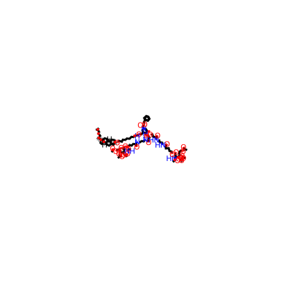 CC(=O)NC1C(OCCCCC(=O)NCCCNC(=O)CCOCC2CN(C(=O)OCc3ccccc3)CC(COCCCCCCCCCCO[C@@H]3C=C4CC[C@H]5[C@@H]6CC[C@H]([C@H](C)CCCC(C)C)[C@@]6(C)CC[C@@H]5[C@@]4(C)CC3)C2OCCC(=O)NCCCNC(=O)CCCCOC2OC(COC(C)=O)C(OC(C)=O)C(OC(C)=O)C2NC(C)=O)OC(COC(C)=O)C(OC(C)=O)C1OC(C)=O